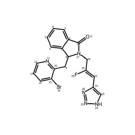 O=C1c2ccccc2C(Cc2ncccc2Br)N1C/C(F)=C/c1c[nH]nn1